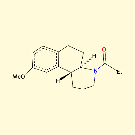 CCC(=O)N1CCC[C@@H]2c3cc(OC)ccc3CC[C@H]21